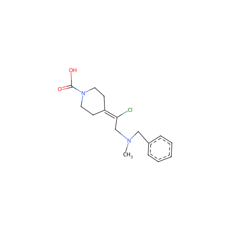 CN(CC(Cl)=C1CCN(C(=O)O)CC1)Cc1ccccc1